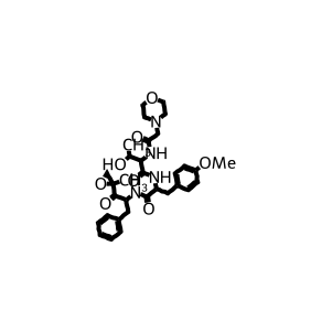 COc1ccc(CC(NC(=O)C(NC(=O)CN2CCOCC2)C(C)O)C(=O)NC(Cc2ccccc2)C(=O)C2(C)CO2)cc1